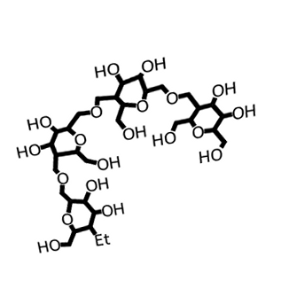 CCC1C(CO)OC(COCC2C(CO)OC(COCC3C(CO)OC(COCC4C(CO)OC(CO)C(O)C4O)C(O)C3O)C(O)C2O)C(O)C1O